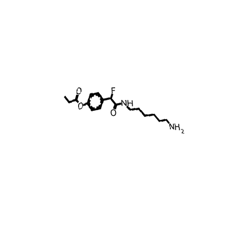 CCC(=O)Oc1ccc(C(F)C(=O)NCCCCCCN)cc1